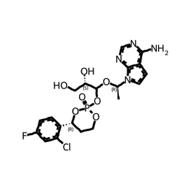 C[C@@H](OC(OP1(=O)OCC[C@H](c2ccc(F)cc2Cl)O1)[C@@H](O)CO)n1ccc2c(N)ncnc21